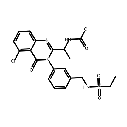 CCS(=O)(=O)NCc1cccc(-n2c(C(C)NC(=O)O)nc3cccc(Cl)c3c2=O)c1